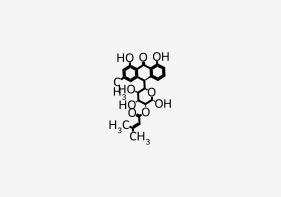 CC(C)=CC(=O)O[C@@H]1[C@H](O)[C@@H](O)[C@@H]([C@@H]2c3cccc(O)c3C(=O)c3c(O)cc(C)cc32)O[C@@H]1O